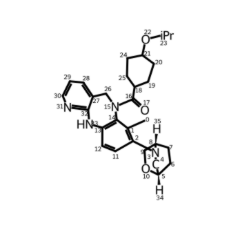 Cc1c(N2C[C@@H]3CC[C@H]2CO3)ccc2c1N(C(=O)C1CCC(OC(C)C)CC1)Cc1cccnc1N2